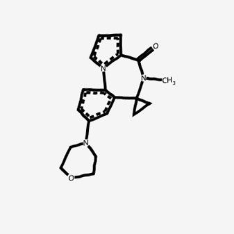 CN1C(=O)c2cccn2-c2ccc(N3CCOCC3)cc2C12CC2